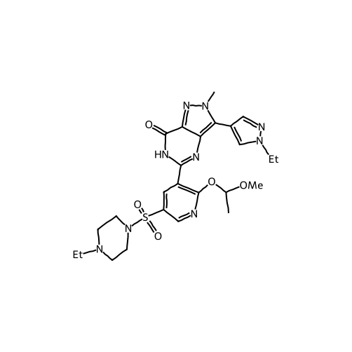 CCN1CCN(S(=O)(=O)c2cnc(OC(C)OC)c(-c3nc4c(-c5cnn(CC)c5)n(C)nc4c(=O)[nH]3)c2)CC1